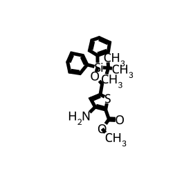 COC(=O)c1sc(CO[Si](c2ccccc2)(c2ccccc2)C(C)(C)C)cc1N